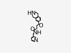 O=C(CCC(=O)c1ccc2c(c1)CCNCC2)NCc1cccnc1